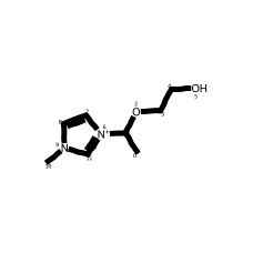 CC(OCCO)[n+]1ccn(C)c1